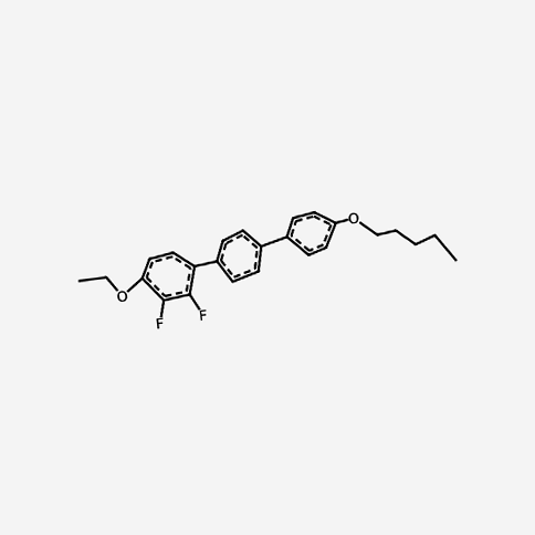 CCCCCOc1ccc(-c2ccc(-c3ccc(OCC)c(F)c3F)cc2)cc1